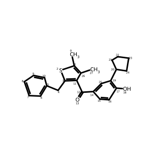 Cc1sc(Cc2ccccc2)c(C(=O)c2ccc(O)c(C3CCCC3)c2)c1C